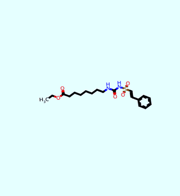 CCOC(=O)CCCCCCCNC(=O)NS(=O)(=O)C=Cc1ccccc1